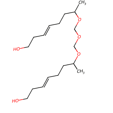 CC(CCC=CCCO)OCOCOC(C)CCC=CCCO